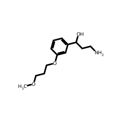 COCCCOc1cccc(C(O)CCN)c1